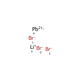 [Br-].[Br-].[Br-].[Li+].[Pb+2]